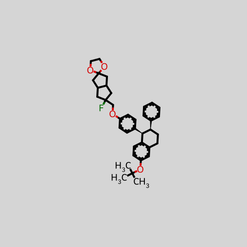 CC(C)(C)Oc1ccc2c(c1)CC[C@H](c1ccccc1)[C@@H]2c1ccc(OCC2(F)CC3CC4(CC3C2)OCCO4)cc1